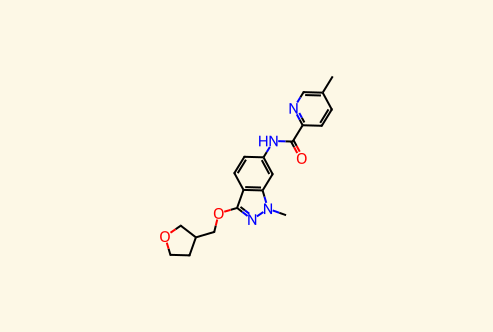 Cc1ccc(C(=O)Nc2ccc3c(OCC4CCOC4)nn(C)c3c2)nc1